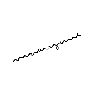 CCCCCCCCOCCOCCOCCCC(=O)OCCCCCCCC(C)C